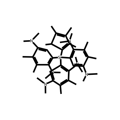 CC1=C(C)C(C)C([Si](c2cc(N(C)C)c(C)c(C)c2N(C)C)(c2cc(N(C)C)c(C)c(C)c2N(C)C)c2cc(N(C)C)c(C)c(C)c2N(C)C)=C1C